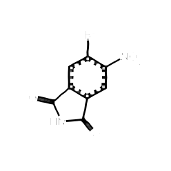 O=C1NC(=O)c2cc([N+](=O)[O-])c(Br)cc21